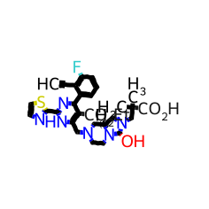 C#Cc1c(F)cccc1C1N=C(c2nccs2)NC(CN2CCN3C(O)N(CC(C)(C)C(=O)O)C[C@@H]3C2)=C1C(=O)OCC